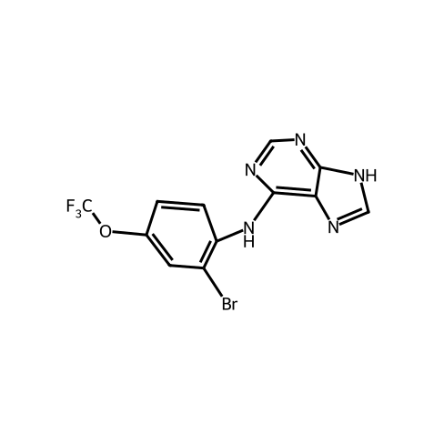 FC(F)(F)Oc1ccc(Nc2ncnc3[nH]cnc23)c(Br)c1